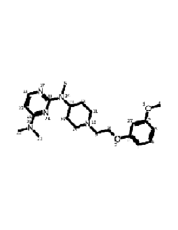 COc1cccc(OCCN2CCC(N(C)c3nccc(N(C)C)n3)CC2)c1